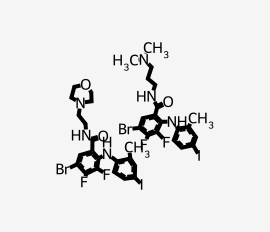 Cc1cc(I)ccc1Nc1c(C(=O)NCCCN(C)C)cc(Br)c(F)c1F.Cc1cc(I)ccc1Nc1c(C(=O)NCCN2CCOCC2)cc(Br)c(F)c1F